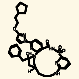 CC1(Cc2ccccc2)C[C@H]2CCCNc3cccc(n3)S(=O)(=O)NC(=O)c3ccc(-n4ccc(OCCC5CCCC5)n4)nc3N1C2